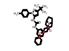 Cc1ccc(-n2nc(C(C)(C)C)cc2NC(=O)Nc2cccc(CC3CC4CCC(C3)N4C(=O)CCOc3ccccc3)c2)cc1